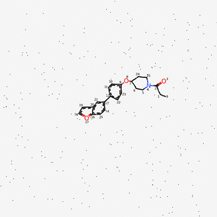 CCC(=O)N1CCC(Oc2ccc(-c3ccc4occc4c3)cc2)CC1